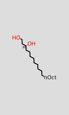 CCCCCCCCCCCCCCCCC[C@@H](O)CCO